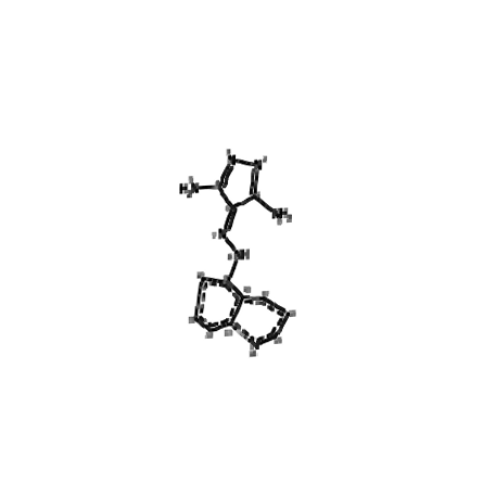 NC1=NN=C(N)C1=NNc1cccc2ncccc12